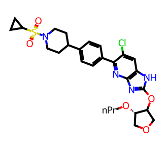 CCCO[C@H]1COCC1Oc1nc2nc(-c3ccc(C4CCN(S(=O)(=O)C5CC5)CC4)cc3)c(Cl)cc2[nH]1